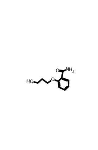 NC(=O)c1ccccc1OCCCO